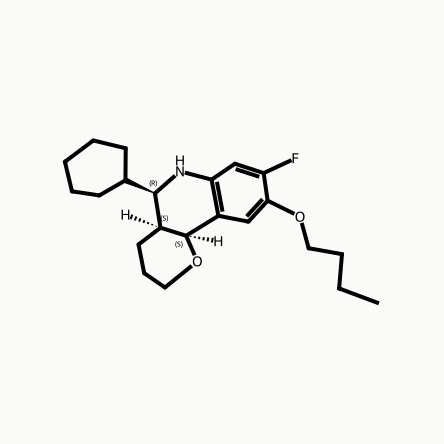 CCCCOc1cc2c(cc1F)N[C@H](C1CCCCC1)[C@@H]1CCCO[C@H]21